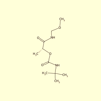 COCNC(=O)[C@@H](C)OC(=O)NC(C)(C)C